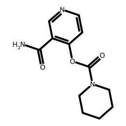 NC(=O)c1cnccc1OC(=O)N1CCCCC1